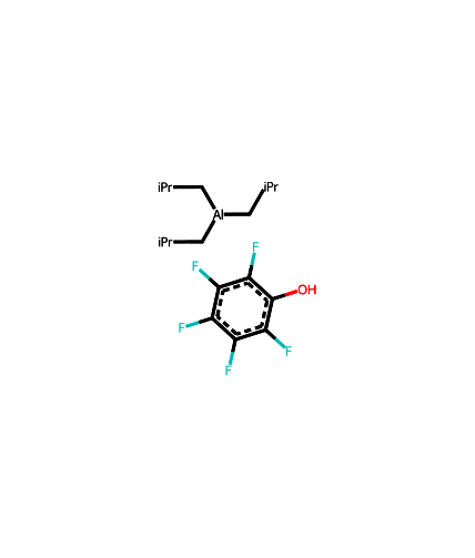 CC(C)[CH2][Al]([CH2]C(C)C)[CH2]C(C)C.Oc1c(F)c(F)c(F)c(F)c1F